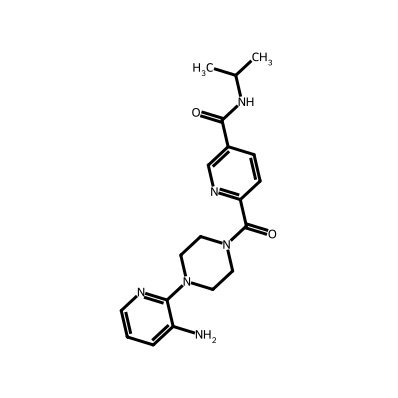 CC(C)NC(=O)c1ccc(C(=O)N2CCN(c3ncccc3N)CC2)nc1